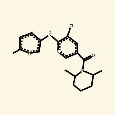 Cc1ccc(Nc2ncc(C(=O)N3C(C)CCCC3C)cc2Cl)cn1